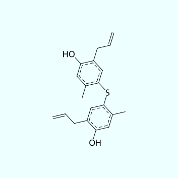 C=CCc1cc(Sc2cc(CC=C)c(O)cc2C)c(C)cc1O